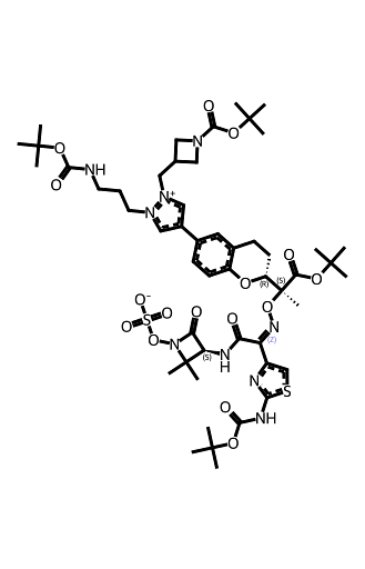 CC(C)(C)OC(=O)NCCCn1cc(-c2ccc3c(c2)CC[C@H]([C@](C)(O/N=C(\C(=O)N[C@@H]2C(=O)N(OS(=O)(=O)[O-])C2(C)C)c2csc(NC(=O)OC(C)(C)C)n2)C(=O)OC(C)(C)C)O3)c[n+]1CC1CN(C(=O)OC(C)(C)C)C1